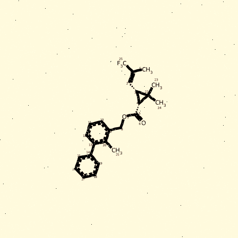 C/C(=C\[C@H]1[C@@H](C(=O)OCc2cccc(-c3ccccc3)c2C)C1(C)C)C(F)(F)F